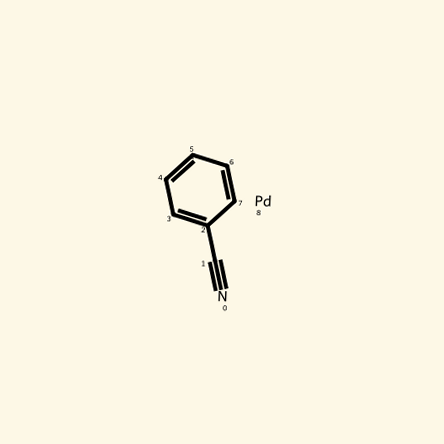 N#Cc1cc[c]cc1.[Pd]